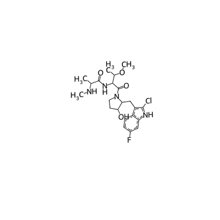 CNC(C)C(=O)NC(C(=O)N1CCC(O)C1Cc1c(Cl)[nH]c2cc(F)ccc12)C(C)OC